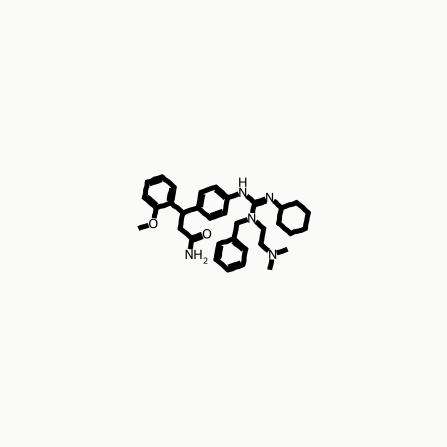 COc1ccccc1C(CC(N)=O)c1ccc(N/C(=N/C2CCCCC2)N(CCN(C)C)Cc2ccccc2)cc1